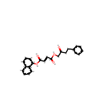 O=C(CCc1ccccc1)COC(=O)/C=C/C(=O)Oc1cccc2ccccc12